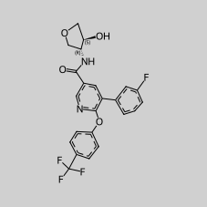 O=C(N[C@@H]1COC[C@H]1O)c1cnc(Oc2ccc(C(F)(F)F)cc2)c(-c2cccc(F)c2)c1